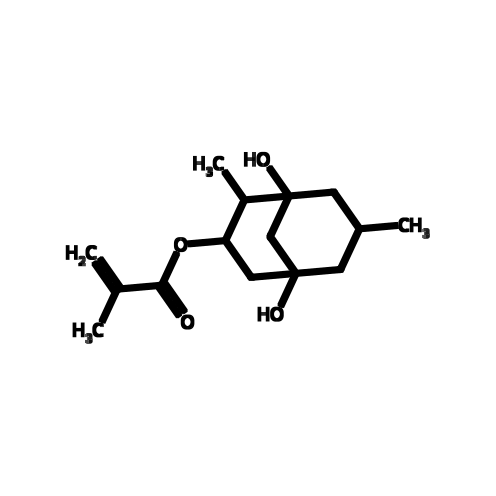 C=C(C)C(=O)OC1CC2(O)CC(C)CC(O)(C2)C1C